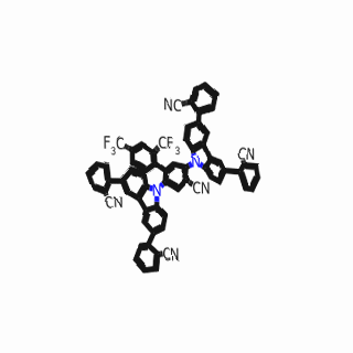 N#Cc1ccccc1-c1ccc2c(c1)c1cc(-c3ccccc3C#N)ccc1n2-c1cc(-c2ccc(C(F)(F)F)cc2C(F)(F)F)c(-n2c3ccc(-c4ccccc4C#N)cc3c3cc(-c4ccccc4C#N)ccc32)cc1C#N